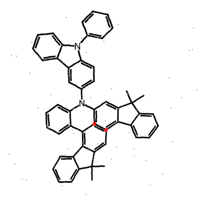 CC1(C)c2ccccc2-c2ccc(N(c3ccc4c(c3)c3ccccc3n4-c3ccccc3)c3ccccc3-c3cccc4c3-c3ccccc3C4(C)C)cc21